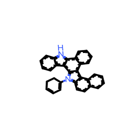 C1=CCCC(n2c3ccc4ccccc4c3c3c4ccccc4c4[nH]c5ccccc5c4c32)=C1